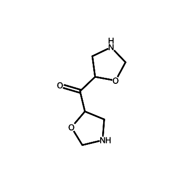 O=C(C1CNCO1)C1CNCO1